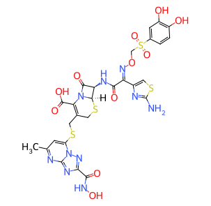 Cc1cc(SCC2=C(C(=O)O)N3C(=O)[C@@H](NC(=O)C(=NOCS(=O)(=O)c4ccc(O)c(O)c4)c4csc(N)n4)[C@H]3SC2)n2nc(C(=O)NO)nc2n1